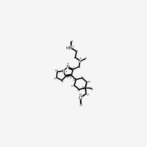 CNCCN(C)Cc1nn2c(c1C1CCC(C)(COC)CC1)CCC2